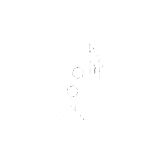 CC1CC1CC(c1ccc(-c2ccc(C[C@@H](C#N)NC(=O)C3(N)CCCCC3)cc2)cc1)N1CCN(C)CC1